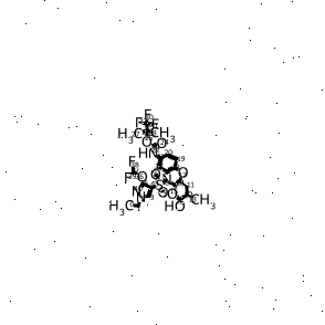 CCn1cc(S(=O)(=O)N2C[C@H](C[C@H](C)C(=O)O)Oc3ccc(NC(=O)OC(C)(C)C(F)(F)F)cc32)c(OC(F)F)n1